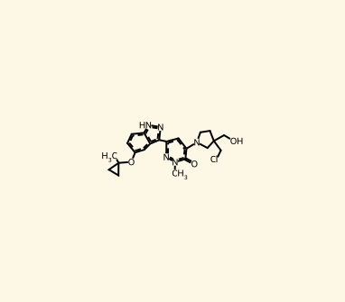 Cn1nc(-c2n[nH]c3ccc(OC4(C)CC4)cc23)cc(N2CCC(CO)(CCl)C2)c1=O